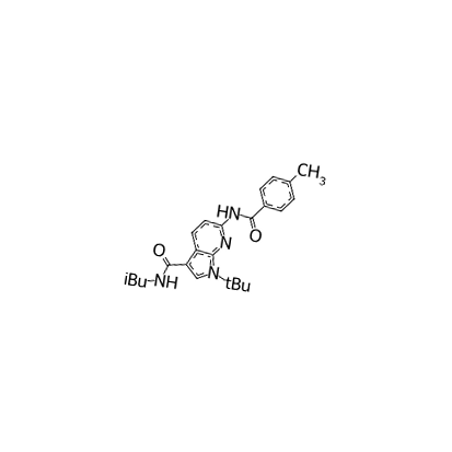 CCC(C)NC(=O)c1cn(C(C)(C)C)c2nc(NC(=O)c3ccc(C)cc3)ccc12